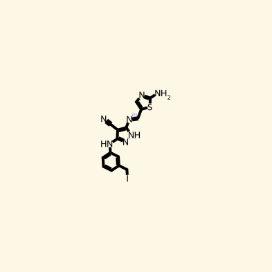 N#Cc1c(Nc2cccc(CI)c2)n[nH]c1/N=C/c1cnc(N)s1